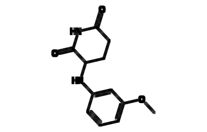 COc1cccc(NC2CCC(=O)NC2=O)c1